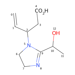 C=CC(CC(=O)O)N1CCN=C1C(C)O